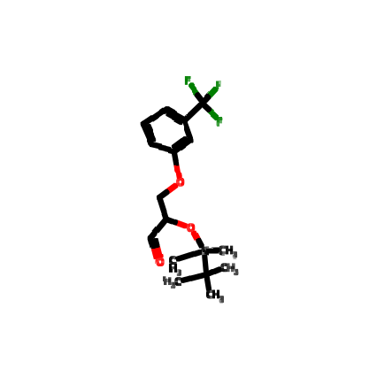 CC(C)(C)[Si](C)(C)OC(C=O)COc1cccc(C(F)(F)F)c1